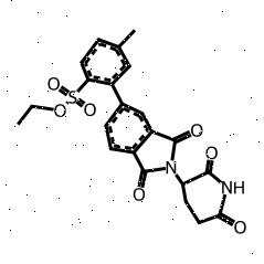 CCOS(=O)(=O)c1ccc(C)cc1-c1ccc2c(c1)C(=O)N(C1CCC(=O)NC1=O)C2=O